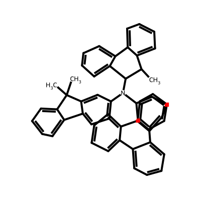 CC1c2ccccc2-c2ccccc2C1N(c1ccc2c(c1)C(C)(C)c1ccccc1-2)c1ccccc1-c1ccccc1-c1ccccc1-c1ccccc1